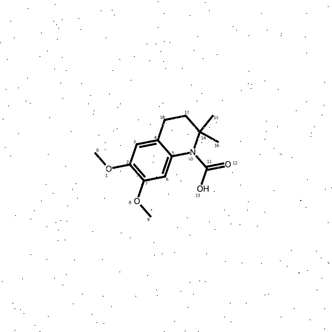 COc1cc2c(cc1OC)N(C(=O)O)C(C)(C)CC2